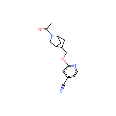 CC(=O)N1CC2CC1CC2COc1cc(C#N)ccn1